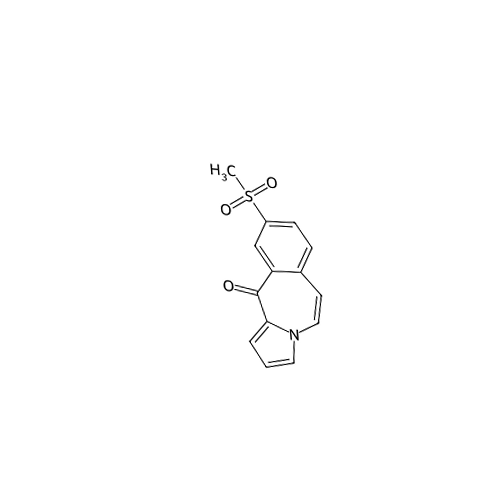 CS(=O)(=O)c1ccc2ccn3cccc3c(=O)c2c1